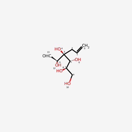 C=CC[C@](O)([C@H](O)[C@H](O)CO)[C@@H](O)C=O